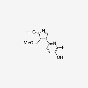 COCc1c(-c2ccc(O)c(F)n2)cnn1C